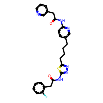 O=C(Cc1cccnc1)Nc1ccc(CCCCc2nnc(NC(=O)Cc3ccccc3F)s2)cn1